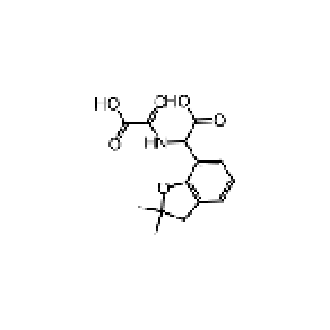 CC1(C)Cc2cccc(C(NC(=O)C(=O)O)C(=O)O)c2O1